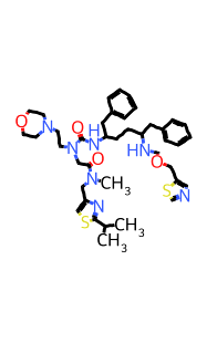 CC(C)c1nc(CN(C)C(=O)CN(CCN2CCOCC2)C(=O)NC(CCC(Cc2ccccc2)NCOCc2cncs2)Cc2ccccc2)cs1